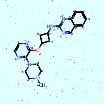 CN1CCN(c2nccnc2OC2CC(Nc3ncc4ccccc4n3)C2)CC1